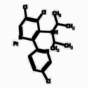 CC(C)[SiH](c1c(-c2ccc(Cl)cn2)ncc(Cl)c1Cl)C(C)C.[Pt]